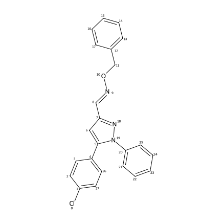 Clc1ccc(-c2cc(/C=N/OCc3ccccc3)nn2-c2ccccc2)cc1